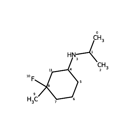 CC(C)NC1CCCC(C)(F)C1